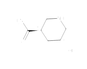 NC(=O)[C@H]1CNC[C@H](O)C1